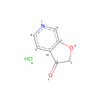 Cl.O=C1COc2cnccc21